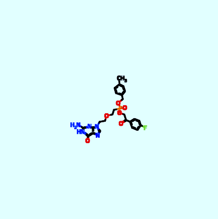 Cc1ccc(COP(=O)(CCOCCn2cnc3c(=O)[nH]c(N)nc32)OCC(=O)c2ccc(F)cc2)cc1